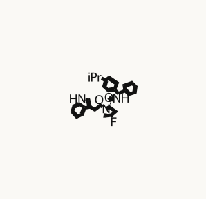 CC(C)c1ccc(C(NC(=O)[C@@H]2C[C@@H](F)CN2C(=O)Cc2c[nH]c3ccccc23)c2ccccc2)cc1